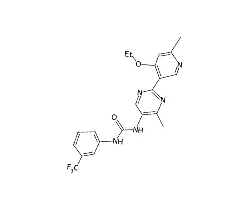 CCOc1cc(C)ncc1-c1ncc(NC(=O)Nc2cccc(C(F)(F)F)c2)c(C)n1